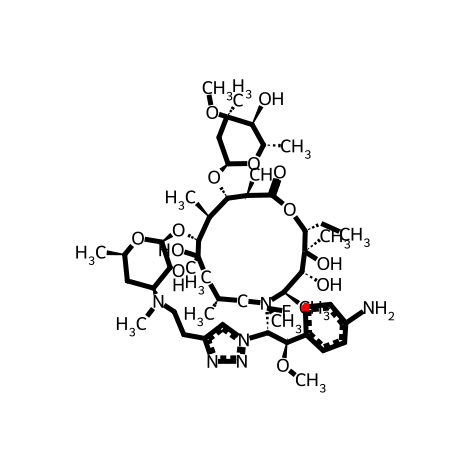 CC[C@H]1OC(=O)[C@H](C)[C@@H](O[C@H]2C[C@@](C)(OC)[C@@H](O)[C@H](C)O2)[C@H](C)[C@@H](O[C@@H]2O[C@H](C)C[C@H](N(C)CCc3cn([C@H](CF)[C@H](OC)c4ccc(N)cc4)nn3)[C@H]2O)[C@](C)(O)C[C@@H](C)CN(C)[C@H](C)[C@@H](O)[C@]1(C)O